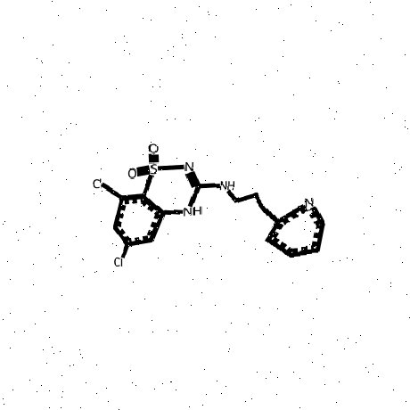 O=S1(=O)N=C(NCCc2ccccn2)Nc2cc(Cl)cc(Cl)c21